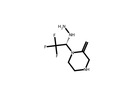 C=C1CNCCN1[C@@H](NN)C(F)(F)F